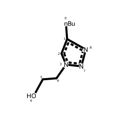 CCCCc1cn(CCO)nn1